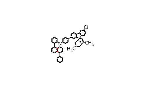 CC1=CC2(c3ccc(Cl)cc3-c3ccc(-c4ccc(N(c5ccc(-c6ccccc6)cc5)c5ccccc5-c5ccccc5)cc4)cc32)C2CC(C)CC1C2